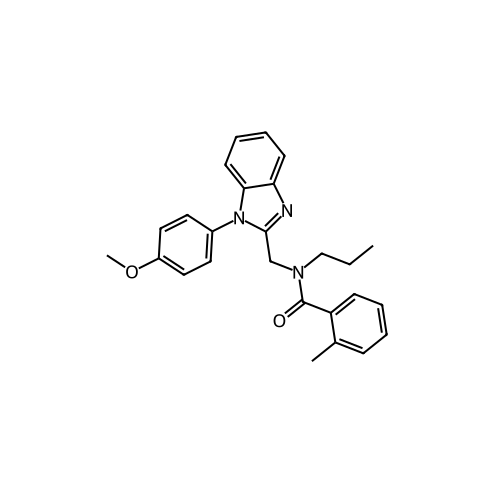 CCCN(Cc1nc2ccccc2n1-c1ccc(OC)cc1)C(=O)c1ccccc1C